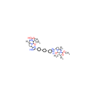 COC(=O)NC(C(=O)N1[C@@H](C)CC[C@H]1c1nc2cc(-c3ccc(-c4ccc(-c5c[nH]c([C@@H]6CC[C@H](C)N6C(=O)[C@@H](NC(=O)O)C(C)C)n5)cc4)cc3)ccc2[nH]1)C(C)C